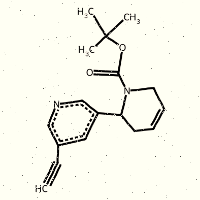 C#Cc1cncc(C2CC=CCN2C(=O)OC(C)(C)C)c1